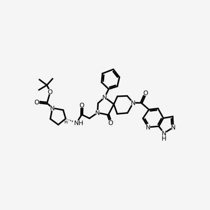 CC(C)(C)OC(=O)N1CC[C@@H](NC(=O)CN2CN(c3ccccc3)C3(CCN(C(=O)c4cnc5[nH]ncc5c4)CC3)C2=O)C1